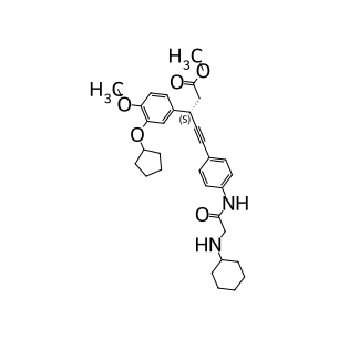 COC(=O)C[C@H](C#Cc1ccc(NC(=O)CNC2CCCCC2)cc1)c1ccc(OC)c(OC2CCCC2)c1